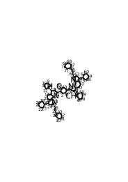 Cc1cc(-c2cc(-c3ccccc3)c3ccc4c(-c5ccccc5)cc(/C=C/c5ccccc5)nc4c3n2)c(C)cc1-c1cc(-c2ccccc2)c2ccc3c(-c4ccccc4)cc(/C=C/c4ccccc4)nc3c2n1